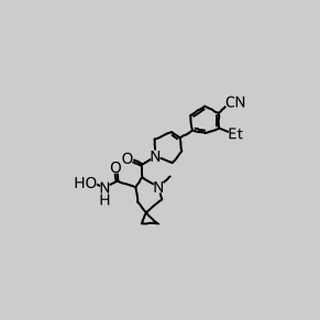 CCc1cc(C2=CCN(C(=O)C3C(C(=O)NO)CC4(CC4)CN3C)CC2)ccc1C#N